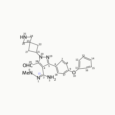 CN/N=C(/N)c1c(-c2ccc(Oc3ccccc3)cc2)nn(C2CC3(CNC3)C2)c1C=O